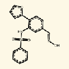 O=S(=O)(Nc1cc(C=NO)ccc1-c1ccco1)c1ccccc1